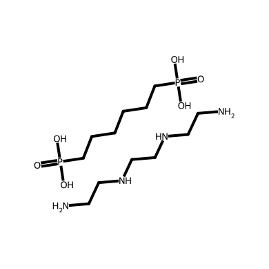 NCCNCCNCCN.O=P(O)(O)CCCCCCP(=O)(O)O